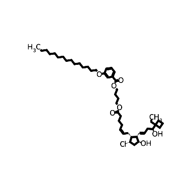 CCCCCCCCCCCCCCCOc1cccc(C(=O)OCCCCOC(=O)CCC/C=C\C[C@@H]2[C@H](/C=C/C[C@H](O)C3(CC)CCC3)[C@H](O)C[C@@H]2Cl)c1